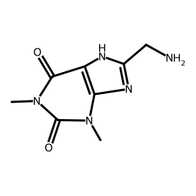 Cn1c(=O)c2[nH]c(CN)nc2n(C)c1=O